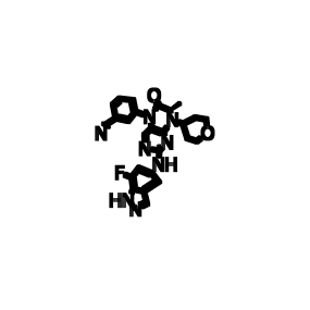 C[C@@H]1C(=O)N(c2cccc(C#N)c2)c2cnc(Nc3cc(F)c4[nH]ncc4c3)nc2N1C1CCOCC1